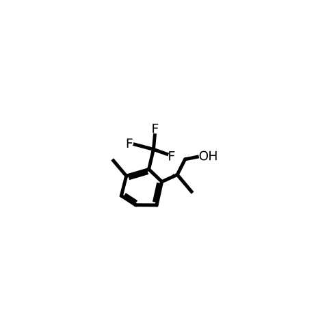 C[C](CO)c1cccc(C)c1C(F)(F)F